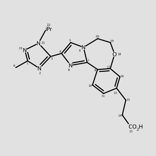 Cc1nc(-c2cn3c(n2)-c2ccc(CCC(=O)O)cc2OCC3)n(C(C)C)n1